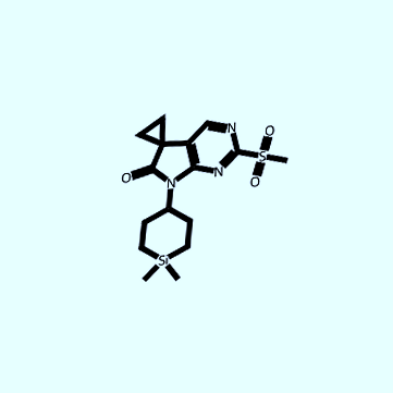 C[Si]1(C)CCC(N2C(=O)C3(CC3)c3cnc(S(C)(=O)=O)nc32)CC1